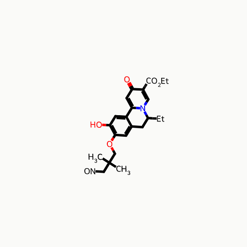 CCOC(=O)c1cn2c(cc1=O)-c1cc(O)c(OCC(C)(C)CN=O)cc1CC2CC